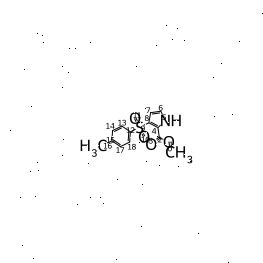 COC(=O)c1[nH]ccc1S(=O)(=O)c1ccc(C)cc1